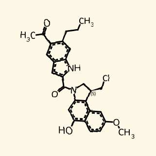 CCCc1cc2[nH]c(C(=O)N3C[C@@H](CCl)c4c3cc(O)c3ccc(OC)cc43)cc2cc1C(C)=O